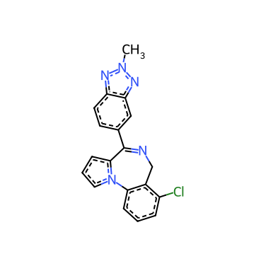 Cn1nc2ccc(C3=NCc4c(Cl)cccc4-n4cccc43)cc2n1